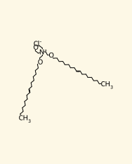 CCCCCCCCC=CCCCCCCCCOCC[N+]1(CCOCCCCCCCCC=CCCCCCCCC)CCOCC1.[Cl-]